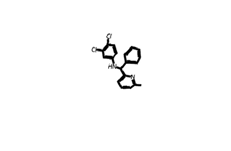 Cc1cccc(C(Nc2ccc(Cl)c(Cl)c2)c2ccccc2)n1